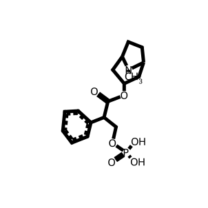 CN1C2CCC1CC(OC(=O)C(COP(=O)(O)O)c1ccccc1)C2